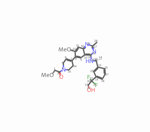 COCC(=O)N1CC=C(c2cc3c(N[C@H](C)c4cccc(C(F)(F)CO)c4)nc(C)nc3cc2OC)CC1